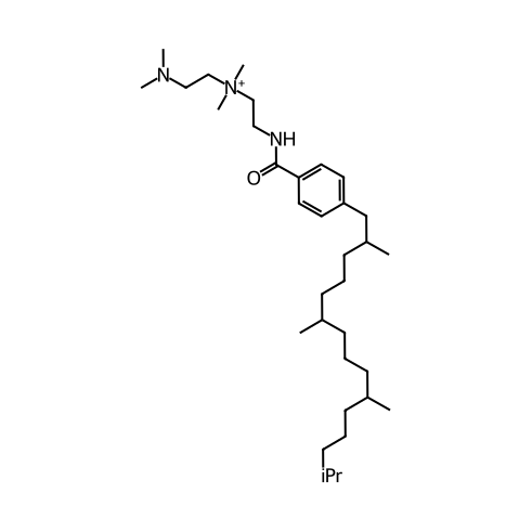 CC(C)CCCC(C)CCCC(C)CCCC(C)Cc1ccc(C(=O)NCC[N+](C)(C)CCN(C)C)cc1